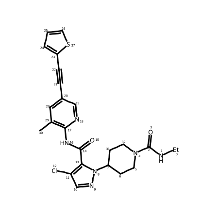 CCNC(=O)N1CCC(n2ncc(Cl)c2C(=O)Nc2ncc(C#Cc3cccs3)cc2C)CC1